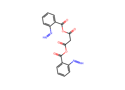 N=Nc1ccccc1C(=O)OC(=O)CC(=O)OC(=O)c1ccccc1N=N